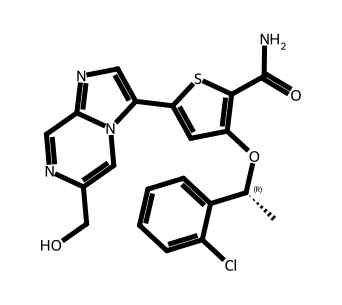 C[C@@H](Oc1cc(-c2cnc3cnc(CO)cn23)sc1C(N)=O)c1ccccc1Cl